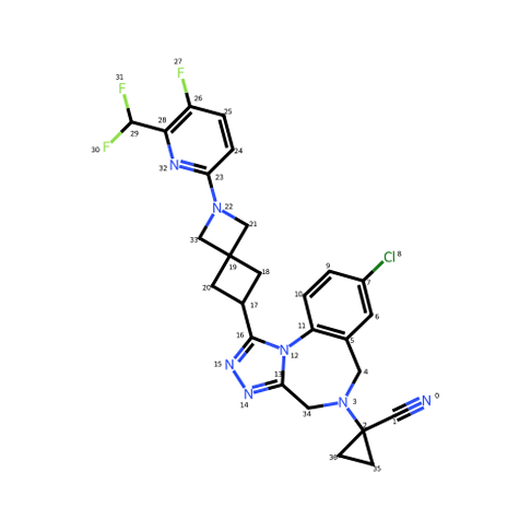 N#CC1(N2Cc3cc(Cl)ccc3-n3c(nnc3C3CC4(C3)CN(c3ccc(F)c(C(F)F)n3)C4)C2)CC1